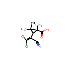 CC1(C)C(C(C#N)=C(Cl)Cl)C1(C)C(=O)O